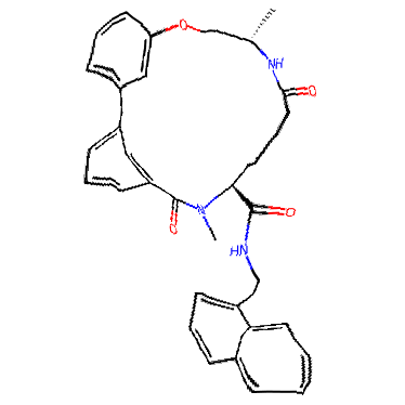 C[C@H]1COc2cccc(c2)-c2cccc(c2)C(=O)N(C)[C@H](C(=O)NCc2cccc3ccccc23)CCC(=O)N1